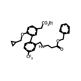 CCOC(=O)Cc1ccc(OCC2CC2)c(-c2ccc(C(F)(F)F)cc2CNCCC(=O)OCc2ccccc2)c1